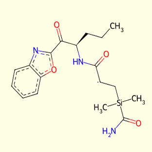 CCC[C@@H](NC(=O)[CH]C[Si](C)(C)C(N)=O)C(=O)c1nc2ccccc2o1